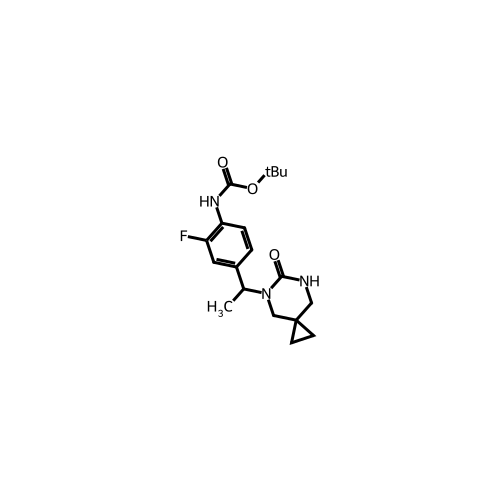 CC(c1ccc(NC(=O)OC(C)(C)C)c(F)c1)N1CC2(CC2)CNC1=O